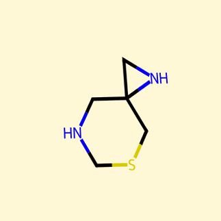 C1NCC2(CN2)CS1